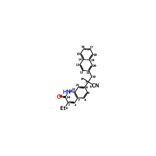 CCc1cc2ccc(C(C)(C#N)Cc3ccc4ccccc4c3)cc2[nH]c1=O